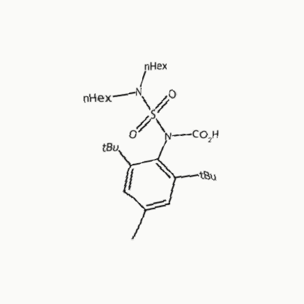 CCCCCCN(CCCCCC)S(=O)(=O)N(C(=O)O)c1c(C(C)(C)C)cc(C)cc1C(C)(C)C